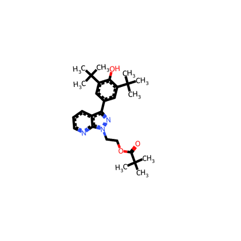 CC(C)(C)C(=O)OCCn1nc(-c2cc(C(C)(C)C)c(O)c(C(C)(C)C)c2)c2cccnc21